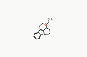 NCCC12CCCn3c1c(c1ccccc13)CCO2